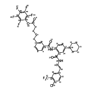 O=C(CCSCc1cccc(C(=O)Nc2ccc(N3CCCCC3)cc2C(=O)NN=Cc2ccc(Cl)c(C(F)(F)F)c2)c1)Oc1c(F)c(F)c(F)c(F)c1F